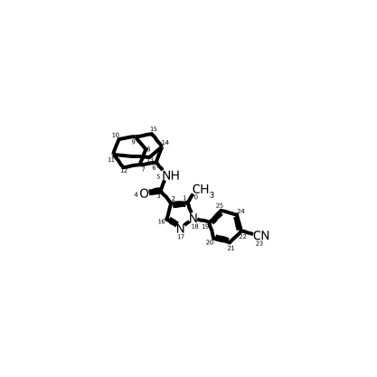 Cc1c(C(=O)NC2C3CC4CC(C3)CC2C4)cnn1-c1ccc(C#N)cc1